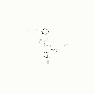 Nc1nc(/C(=N/OCCF)C(=O)N[C@H]2Cc3cccc(C(=O)O)c3OB2O)cs1